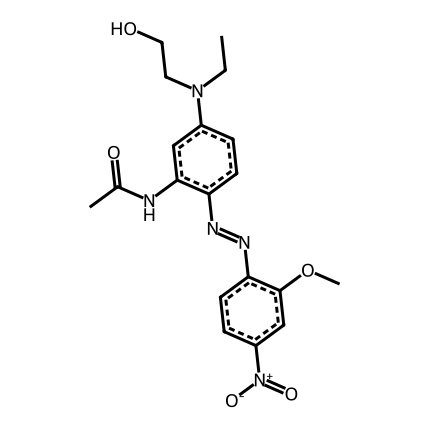 CCN(CCO)c1ccc(N=Nc2ccc([N+](=O)[O-])cc2OC)c(NC(C)=O)c1